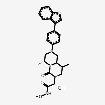 CC1C[C@@H]([C@H](O)C(=O)NO)C(=O)N2C1CN(c1ccc(-c3coc4ccccc34)cc1)C[C@H]2C